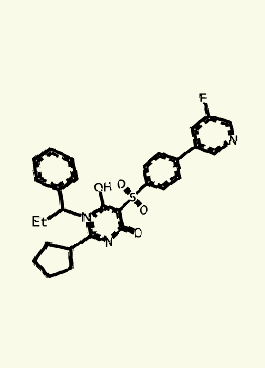 CCC(c1ccccc1)n1c(C2CCCC2)nc(=O)c(S(=O)(=O)c2ccc(-c3cncc(F)c3)cc2)c1O